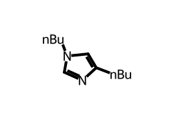 CCCCc1cn(CCCC)cn1